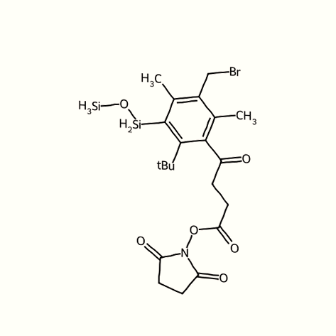 Cc1c(CBr)c(C)c(C(=O)CCC(=O)ON2C(=O)CCC2=O)c(C(C)(C)C)c1[SiH2]O[SiH3]